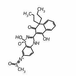 CCCC1(CCC)C(=O)C(C2=NS([O-])(O)c3cc([N+]#S(C)=O)ccc3N2)=C(O)c2ccccc21